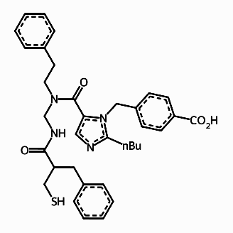 CCCCc1ncc(C(=O)N(CCc2ccccc2)CNC(=O)C(CS)Cc2ccccc2)n1Cc1ccc(C(=O)O)cc1